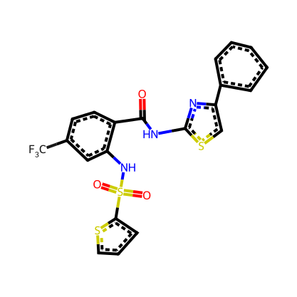 O=C(Nc1nc(-c2ccccc2)cs1)c1ccc(C(F)(F)F)cc1NS(=O)(=O)c1cccs1